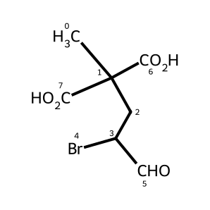 CC(CC(Br)C=O)(C(=O)O)C(=O)O